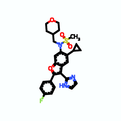 CS(=O)(=O)N(CC1CCOCC1)c1cc2oc(-c3ccc(F)cc3)c(-c3ncc[nH]3)c2cc1C1CC1